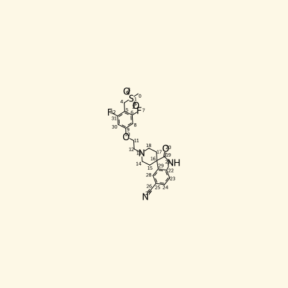 CS(=O)(=O)Cc1c(F)cc(OCCN2CCC3(CC2)C(=O)Nc2ccc(C#N)cc23)cc1F